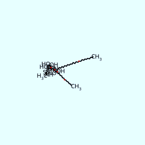 CCCCCCCCCCCCCCCCCCCCCCCCCCN[C@@H](CO[C@H]1O[C@H](COC(=S)NC)[C@H](O)[C@H](O)[C@H]1O)[C@H](O)[C@H](O)CCCCCCCCCCCCCC